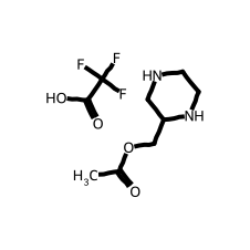 CC(=O)OCC1CNCCN1.O=C(O)C(F)(F)F